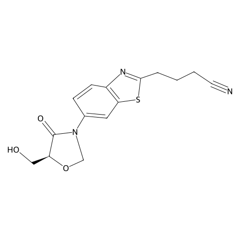 N#CCCCc1nc2ccc(N3CO[C@@H](CO)C3=O)cc2s1